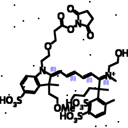 COCCC1(C)\C(=C/C=C/C=C/C(=[N+](/C)CCO)C(C)(CCCS(=O)(=O)O)c2cc(S(=O)(=O)O)ccc2C)N(CCOCCC(=O)ON2C(=O)CCC2=O)c2ccc(S(=O)(=O)O)cc21